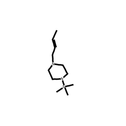 CC=CCN1CCN([Si](C)(C)C)CC1